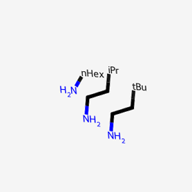 CC(C)(C)CCN.CC(C)CCN.CCCCCCN